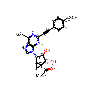 CNC(=O)[C@]12CC1[C@@H](n1cnc3c(NC)nc(C#Cc4ccc(C(=O)O)cc4)nc31)C(O)[C@@H]2O